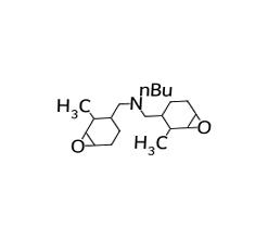 CCCCN(CC1CCC2OC2C1C)CC1CCC2OC2C1C